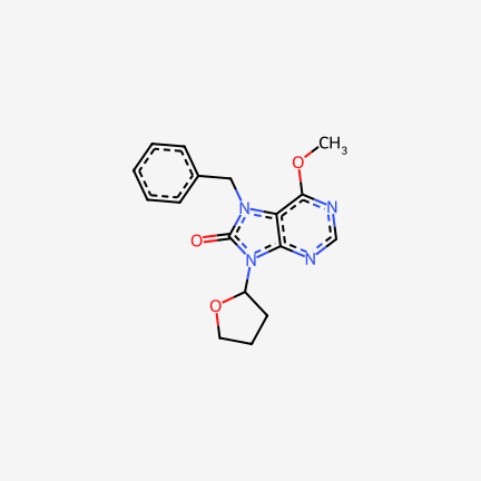 COc1ncnc2c1n(Cc1ccccc1)c(=O)n2C1CCCO1